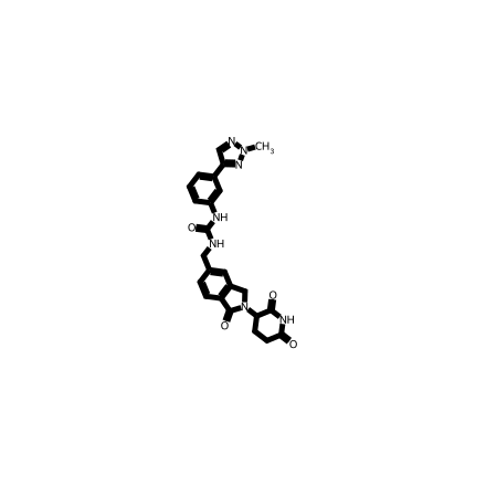 Cn1ncc(-c2cccc(NC(=O)NCc3ccc4c(c3)CN(C3CCC(=O)NC3=O)C4=O)c2)n1